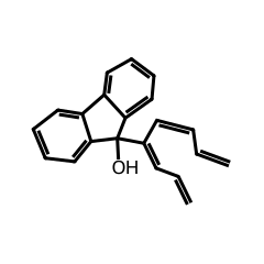 C=C/C=C\C(=C/C=C)C1(O)c2ccccc2-c2ccccc21